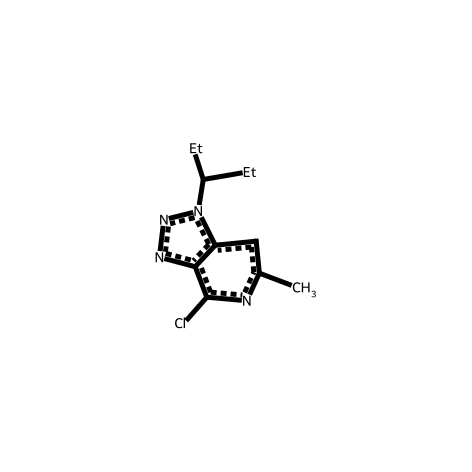 CCC(CC)n1nnc2c(Cl)nc(C)cc21